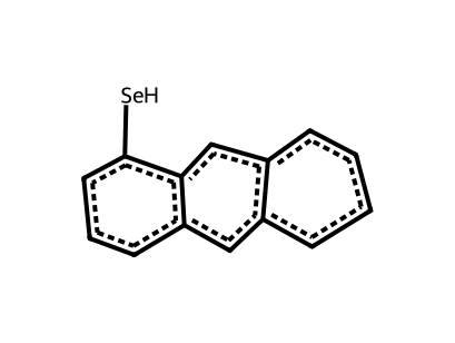 [SeH]c1cccc2cc3ccccc3cc12